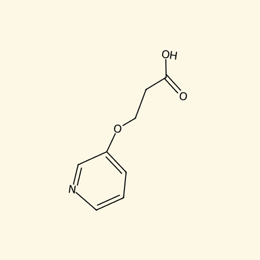 O=C(O)CCOc1cccnc1